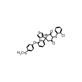 CSc1ccc(Oc2cccc(C3(c4ccsc4)CC(=O)C(Sc4ccccc4Cl)C(=O)N3)n2)cc1